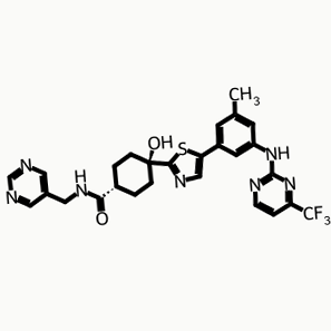 Cc1cc(Nc2nccc(C(F)(F)F)n2)cc(-c2cnc([C@]3(O)CC[C@H](C(=O)NCc4cncnc4)CC3)s2)c1